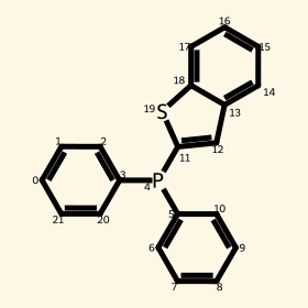 c1ccc(P(c2ccccc2)c2cc3ccccc3s2)cc1